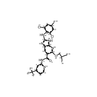 O=C(Nc1cc(C(F)(F)F)ccn1)c1cc2nc(Nc3c(Cl)cc(F)cc3Cl)[nH]c2nc1OCC(F)F